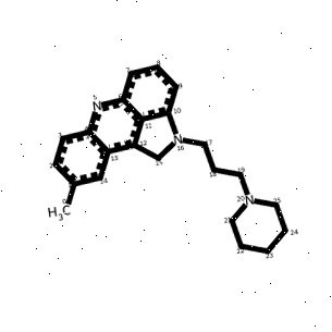 Cc1ccc2nc3cccc4c3c(c2c1)CN4CCCN1CCCCC1